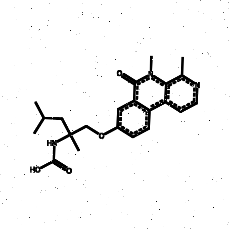 Cc1nccc2c3ccc(OCC(C)(CC(C)C)NC(=O)O)cc3c(=O)n(C)c12